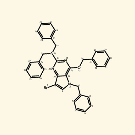 Brc1cn(Cc2ccccc2)c2c(OCc3ccccc3)nc(N(Cc3ccccc3)Cc3ccccc3)nc12